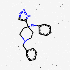 c1ccc(CN2CCC(Nc3ccccc3)(c3cnn[nH]3)CC2)cc1